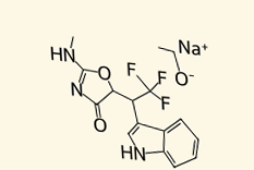 CC[O-].CNC1=NC(=O)C(C(c2c[nH]c3ccccc23)C(F)(F)F)O1.[Na+]